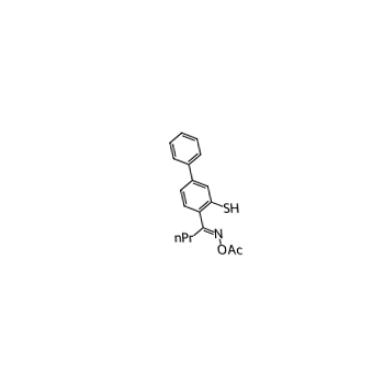 CCCC(=NOC(C)=O)c1ccc(-c2ccccc2)cc1S